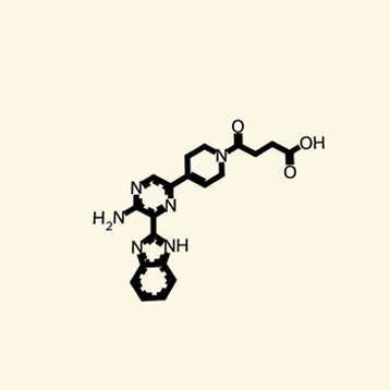 Nc1ncc(C2=CCN(C(=O)CCC(=O)O)CC2)nc1-c1nc2ccccc2[nH]1